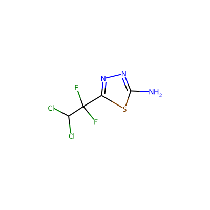 Nc1nnc(C(F)(F)C(Cl)Cl)s1